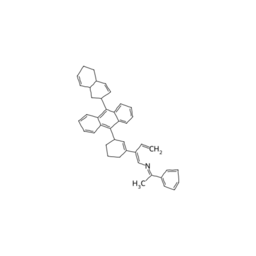 C=C/C(=C\N=C(/C)c1ccccc1)C1=CC(c2c3ccccc3c(C3C=CC4CCC=CC4C3)c3ccccc23)CCC1